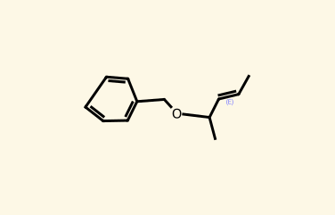 C/C=C/C(C)OCc1ccccc1